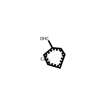 O=Cc1ccccc1.[CaH2]